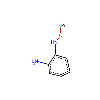 CCCONc1ccccc1N